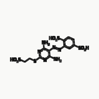 Nc1nc(SCCS(=O)(=O)O)nc(N)c1/N=N/c1cc(S(=O)(=O)O)ccc1S(=O)(=O)O